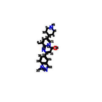 Cc1cc(C2CCN(C)CC2)cn2c(=O)cc(-c3ccc4c(cnn4C)c3)nc12